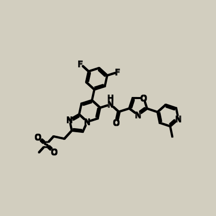 Cc1cc(-c2nc(C(=O)Nc3cn4cc(CCS(C)(=O)=O)nc4cc3-c3cc(F)cc(F)c3)co2)ccn1